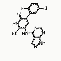 CCc1[nH]c(=O)c(-c2cc(Cl)ccc2F)cc1Nc1ncnc2[nH]ncc12